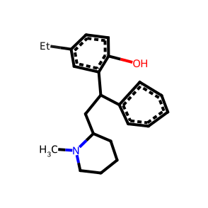 CCc1ccc(O)c(C(CC2CCCCN2C)c2ccccc2)c1